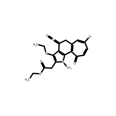 CCOC(=O)Cc1c(OCC)c2c(n1C)-c1c(cc(Cl)ccc1=O)CC2=C=O